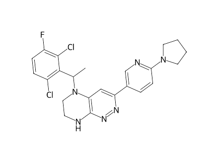 CC(c1c(Cl)ccc(F)c1Cl)N1CCNc2nnc(-c3ccc(N4CCCC4)nc3)cc21